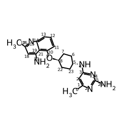 Cc1cc(N[C@H]2CC[C@H](Oc3cccc4nc(C)cc(N)c34)CC2)nc(N)n1